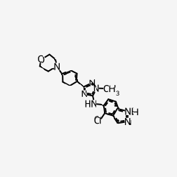 Cn1nc(C2=CC=C(N3CCOCC3)CC2)nc1Nc1ccc2[nH]ncc2c1Cl